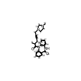 CC(CC#CCN1CCN(C)CC1)C(=O)N1c2ccccc2C(=O)Nc2cccnc21